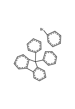 Brc1ccccc1.c1ccc(C2(c3ccccc3)c3ccccc3-c3ccccc32)cc1